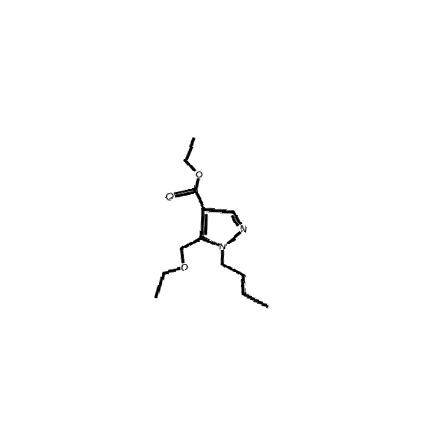 CCCCn1ncc(C(=O)OCC)c1COCC